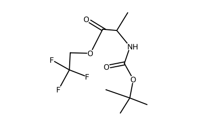 CC(NC(=O)OC(C)(C)C)C(=O)OCC(F)(F)F